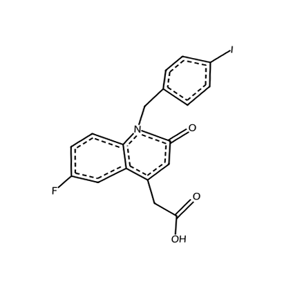 O=C(O)Cc1cc(=O)n(Cc2ccc(I)cc2)c2ccc(F)cc12